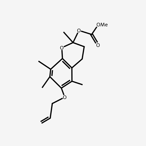 C=CCOc1c(C)c(C)c2c(c1C)CCC(C)(OC(=O)OC)O2